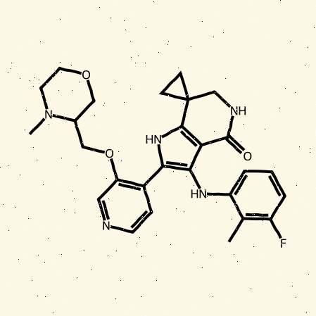 Cc1c(F)cccc1Nc1c(-c2ccncc2OCC2COCCN2C)[nH]c2c1C(=O)NCC21CC1